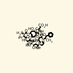 CC[C@H](C)[C@@H](C(CC(=O)N1CCC[C@H]1[C@H](OC)[C@@H](C)C(=O)N[C@H](C)[C@@H](O)c1ccccc1)OC)N(C)C(=O)[C@@H](NC(=O)[C@H](C(C)C)N(C)C(=O)O[C@H]1/C=C/CC[C@@](C)(C(=O)N[C@@H](CC(=O)O)C(=O)O)CC1)C(C)C